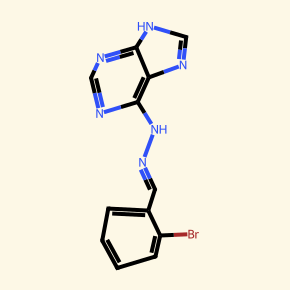 Brc1ccccc1C=NNc1ncnc2[nH]cnc12